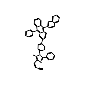 C#C/C=C\c1nc(-c2ccccc2)n(-c2ccc(-c3ccc4c(-c5ccc6ccccc6c5)c5ccccc5c(-c5ccccc5)c4c3)cc2)c1C